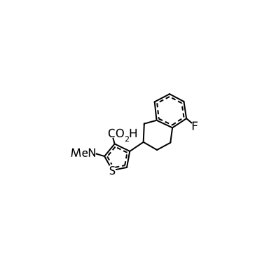 CNc1scc(C2CCc3c(F)cccc3C2)c1C(=O)O